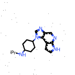 CC(C)NC1CCC(n2cnc3cnc4[nH]ccc4c32)CC1